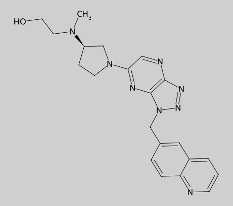 CN(CCO)[C@@H]1CCN(c2cnc3nnn(Cc4ccc5ncccc5c4)c3n2)C1